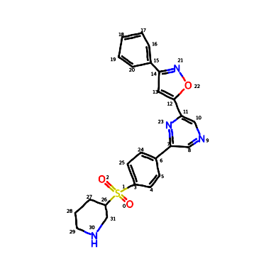 O=S(=O)(c1ccc(-c2cncc(-c3cc(-c4ccccc4)no3)n2)cc1)C1CCCNC1